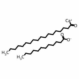 CCCCCCCCCCCC(=O)[O-].CCCCCCCCCCCCCCCCC[C](=O)[Ca+]